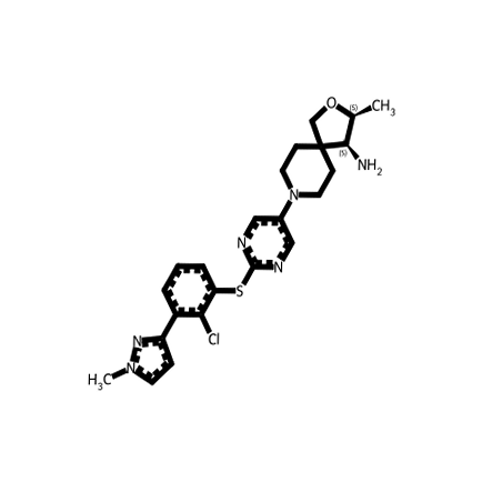 C[C@@H]1OCC2(CCN(c3cnc(Sc4cccc(-c5ccn(C)n5)c4Cl)nc3)CC2)[C@@H]1N